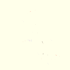 CC[C@]1(O)C[C@@H]2CN(CCc3c([nH]c4ccc(C)cc34)C(C(=O)OC)(c3cc4c(cc3OC)N(C)[C@H]3C(O)(C(N)=O)[C@H](O)[C@]5(CC)C=CCN6CC[C@]43[C@@H]65)C2)C1